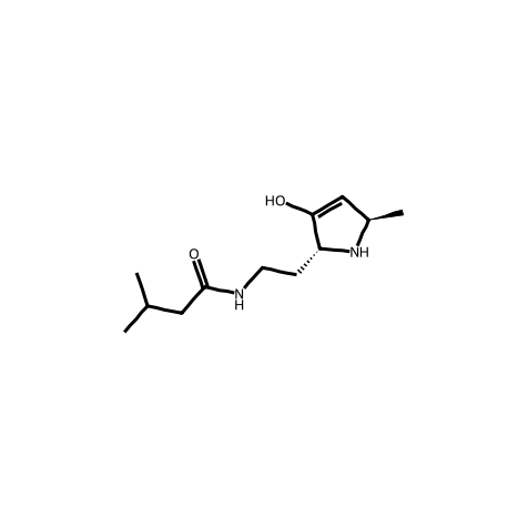 CC(C)CC(=O)NCC[C@H]1N[C@H](C)C=C1O